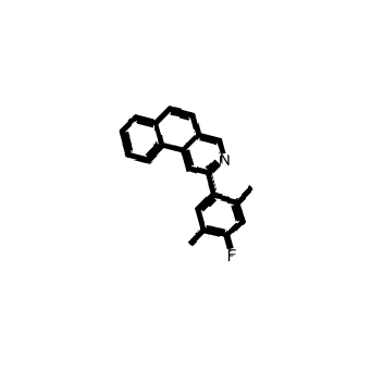 Cc1cc(-c2cc3c(ccc4ccccc43)cn2)c(C)cc1F